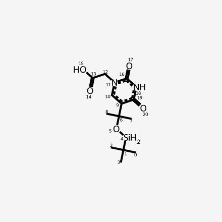 CC(C)(C)[SiH2]OC(C)(C)c1cn(CC(=O)O)c(=O)[nH]c1=O